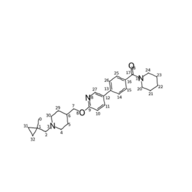 CC1(CN2CCC(COc3ccc(-c4ccc(C(=O)N5CCCCC5)cc4)cn3)CC2)CC1